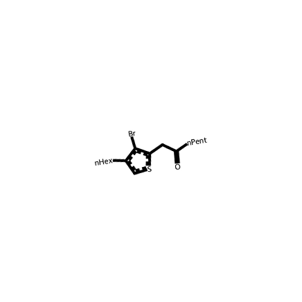 CCCCCCc1csc(CC(=O)CCCCC)c1Br